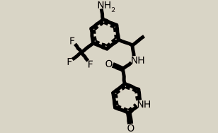 CC(NC(=O)c1ccc(=O)[nH]c1)c1cc(N)cc(C(F)(F)F)c1